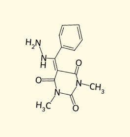 CN1C(=O)C(=C(NN)c2ccccc2)C(=O)N(C)C1=O